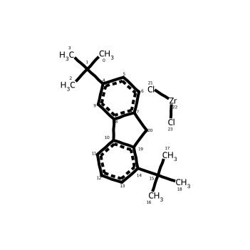 CC(C)(C)c1ccc2c(c1)-c1cccc(C(C)(C)C)c1[CH]2.[Cl][Zr][Cl]